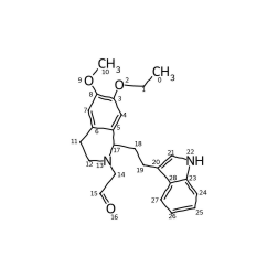 CCOc1cc2c(cc1OC)CCN(CC=O)C2CCc1c[nH]c2ccccc12